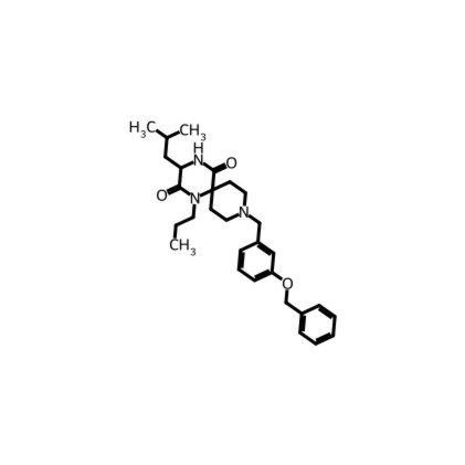 CCCN1C(=O)C(CC(C)C)NC(=O)C12CCN(Cc1cccc(OCc3ccccc3)c1)CC2